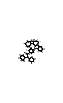 c1ccc(C2C(c3ccc(-n4c5ccccc5c5ccc6sc7ccccc7c6c54)cc3)=Nc3ccccc32)cc1